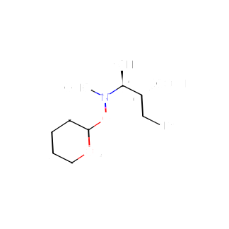 CC(C)C[C@@H](C(=O)O)[C@H](C)N(C=O)OC1CCCCO1